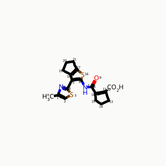 Cc1csc(-c2c(NC(=O)C3=C(C(=O)O)CCC3)sc3c2CCC3)n1